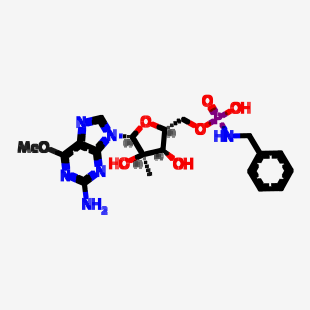 COc1nc(N)nc2c1ncn2[C@@H]1O[C@H](COP(=O)(O)NCc2ccccc2)[C@@H](O)[C@@]1(C)O